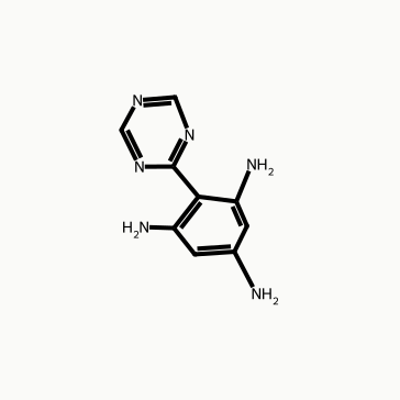 Nc1cc(N)c(-c2ncncn2)c(N)c1